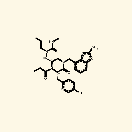 CCCN(N[C@H]1CN(Cc2cccc3sc(N)nc23)C(=O)[C@H](Cc2ccc(O)cn2)N1C(=O)CC)C(=O)NC